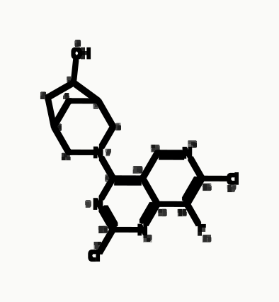 OC1CC2CC1CN(c1nc(Cl)nc3c(F)c(Cl)ncc13)C2